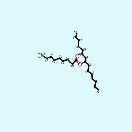 CCCCCCCC(CCCCCCC)OC(=O)CCCCCCCCl